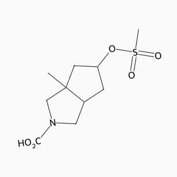 CC12CC(OS(C)(=O)=O)CC1CN(C(=O)O)C2